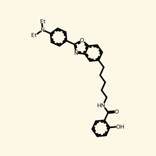 CCN(CC)c1ccc(-c2nc3cc(CCCCCNC(=O)c4ccccc4O)ccc3o2)cc1